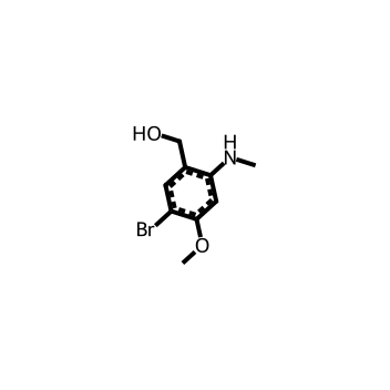 CNc1cc(OC)c(Br)cc1CO